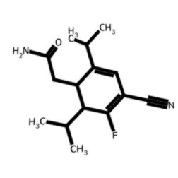 CC(C)C1=CC(C#N)=C(F)C(C(C)C)C1CC(N)=O